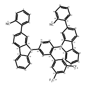 N#Cc1ccccc1-c1ccc2c3ccccc3n(-c3cc(-c4cc(C(F)(F)F)cc(C(F)(F)F)c4)c(-n4c5ccccc5c5ccc(-c6ccccc6C#N)cc54)cn3)c2c1